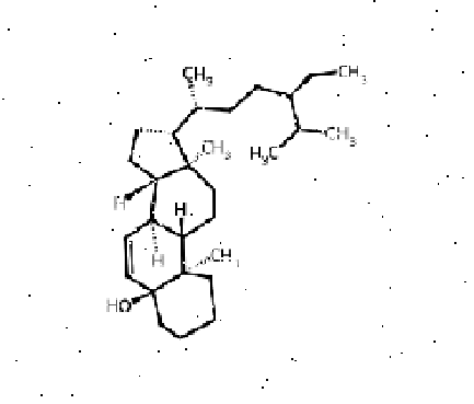 CC[C@H](CC[C@@H](C)[C@H]1CC[C@H]2[C@@H]3C=C[C@@]4(O)CCCC[C@]4(C)[C@H]3CC[C@]12C)C(C)C